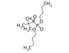 CCCCOP(=O)(OCCCC)C(=O)C(C)(C)C